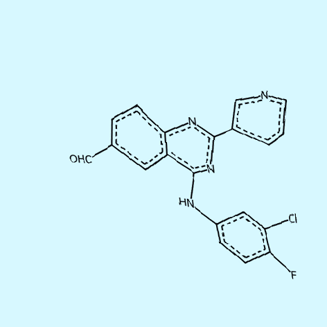 O=Cc1ccc2nc(-c3cccnc3)nc(Nc3ccc(F)c(Cl)c3)c2c1